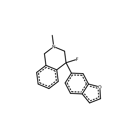 CN1Cc2ccccc2C(F)(c2ccc3ccoc3c2)C1